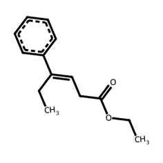 CCOC(=O)CC=C(CC)c1ccccc1